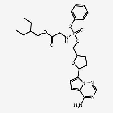 CCC(CC)COC(=O)CN[P@](=O)(OCC1CCC(c2ccc3c(N)ncnn23)O1)Oc1ccccc1